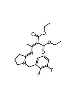 CCOC(=O)C(C(=O)OCC)=C(C)/N=C1\CCCN1Cc1cccc(F)c1F